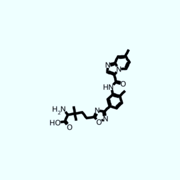 Cc1ccn2c(C(=O)Nc3cc(-c4noc(CCC(C)(C)C(N)C(=O)O)n4)ccc3C)cnc2c1